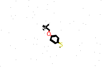 CSc1ccc(OC[Si](C)(C)C)cc1